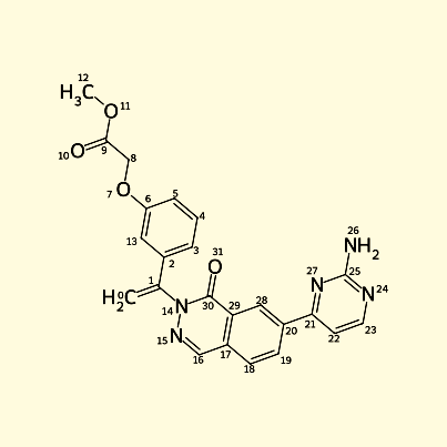 C=C(c1cccc(OCC(=O)OC)c1)n1ncc2ccc(-c3ccnc(N)n3)cc2c1=O